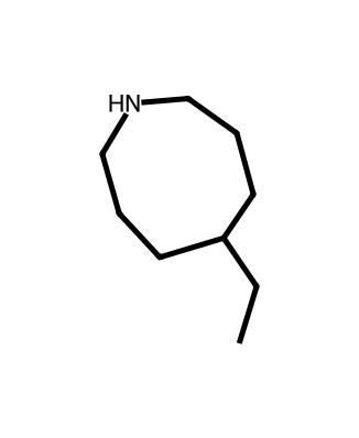 CCC1CCCNCCC1